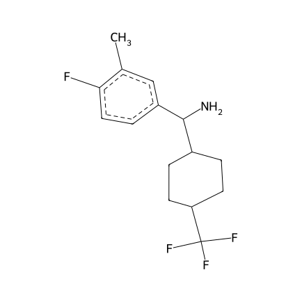 Cc1cc(C(N)C2CCC(C(F)(F)F)CC2)ccc1F